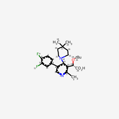 Cc1ncc(-c2ccc(F)c(F)c2)c(N2CCC(C)(C)CC2)c1[C@H](OC(C)(C)C)C(=O)O